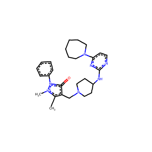 Cc1c(CN2CCC(Nc3nccc(N4CCCCCC4)n3)CC2)c(=O)n(-c2ccccc2)n1C